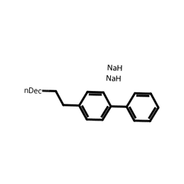 CCCCCCCCCCCCc1ccc(-c2ccccc2)cc1.[NaH].[NaH]